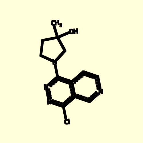 CC1(O)CCN(c2nnc(Cl)c3cnccc23)C1